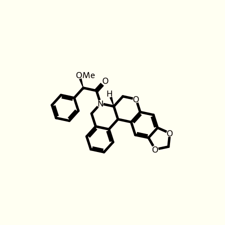 CO[C@@H](C(=O)N1Cc2ccccc2C2c3cc4c(cc3OC[C@H]21)OCO4)c1ccccc1